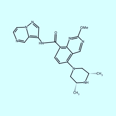 COc1ncc2c(N3C[C@@H](C)N[C@@H](C)C3)ccc(C(=O)Nc3cnn4ccncc34)c2n1